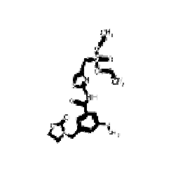 CCOP(=O)(Cc1csc(NC(=O)c2cc(CN3CCOC3=O)cc(OC)c2)n1)OCC